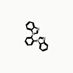 c1ccc(-n2cnc3ccccc32)c(-n2cnc3ccccc32)c1